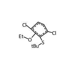 CCOc1c(Cl)ccc(Cl)c1SC(C)(C)C